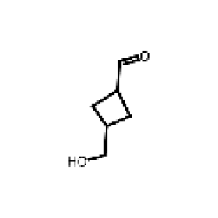 O=CC1CC(CO)C1